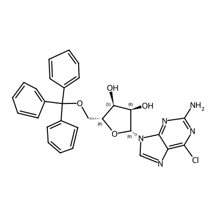 Nc1nc(Cl)c2ncn([C@@H]3O[C@H](COC(c4ccccc4)(c4ccccc4)c4ccccc4)[C@@H](O)[C@H]3O)c2n1